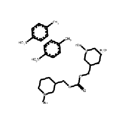 CCCCN1CCCC(COC(=O)OCC2CCCN(CCCC)C2)C1.Cc1ccc(S(=O)(=O)O)cc1.Cc1ccc(S(=O)(=O)O)cc1.O